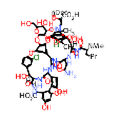 CCCCCCCCCCOC(CNC1(C)CC(OC2C(Oc3c4cc5cc3Oc3ccc(cc3Cl)[C@@H](O)[C@@H]3NC(=O)C(NC(=O)C5NC(=O)C(CC(N)=O)NC(=O)[C@@H](NC(=O)[C@@H](CC(C)C)NC)C(O)c5ccc(c(Cl)c5)O4)c4ccc(O)c(c4)-c4c(O)cc(O)cc4C(C(=O)O)NC3=O)OC(CO)C(O)C2O)OC(C)C1O)C(=O)O